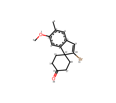 COc1cc2c(cc1C)C=C(Br)C21CCC(=O)CC1